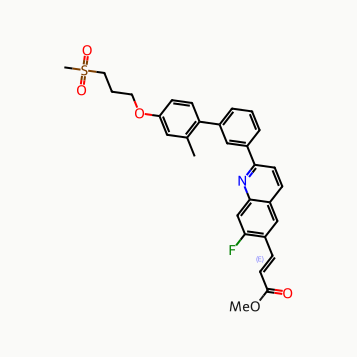 COC(=O)/C=C/c1cc2ccc(-c3cccc(-c4ccc(OCCCS(C)(=O)=O)cc4C)c3)nc2cc1F